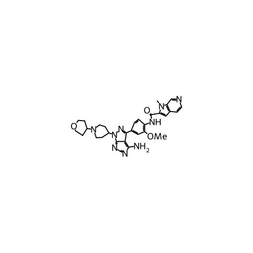 COc1cc(-c2nn(C3CCN(C4CCOCC4)CC3)c3ncnc(N)c23)ccc1NC(=O)c1cc2ccncc2n1C